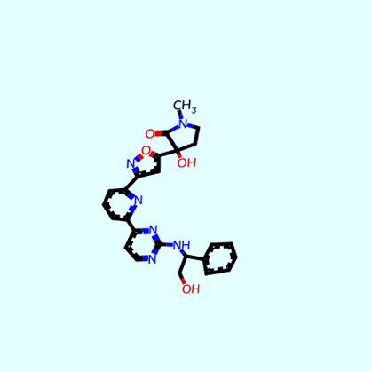 CN1CCC(O)(c2cc(-c3cccc(-c4ccnc(NC(CO)c5ccccc5)n4)n3)no2)C1=O